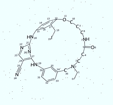 CCN1CCC(=O)NCCCOc2ccc(cc2CI)Nc2ncc(C#N)c(n2)Nc2cccc(c2)C1